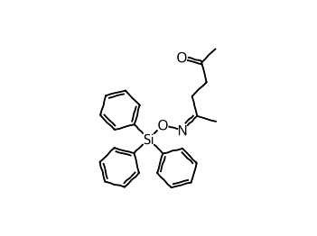 CC(=O)CCC(C)=NO[Si](c1ccccc1)(c1ccccc1)c1ccccc1